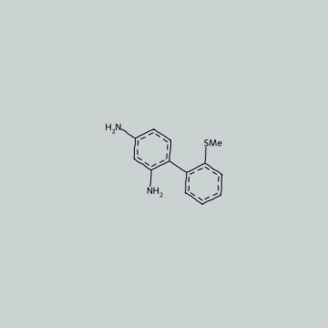 CSc1ccccc1-c1ccc(N)cc1N